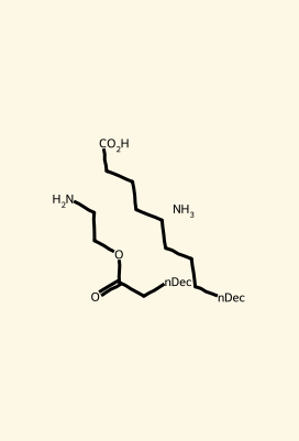 CCCCCCCCCCCC(=O)OCCN.CCCCCCCCCCCCCCCCCC(=O)O.N